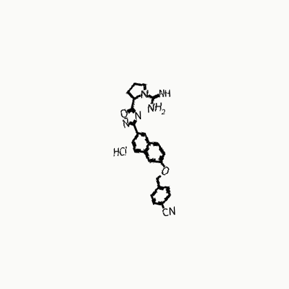 Cl.N#Cc1ccc(COc2ccc3cc(-c4noc(C5CCCN5C(=N)N)n4)ccc3c2)cc1